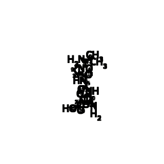 CC(C)[C@H](N)C(=O)N1CCC[C@H]1C(=O)NCC(=O)N[C@@H](CC(N)=O)C(=O)NCC(=O)O